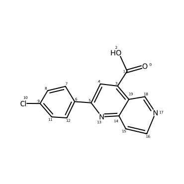 O=C(O)c1cc(-c2ccc(Cl)cc2)nc2ccncc12